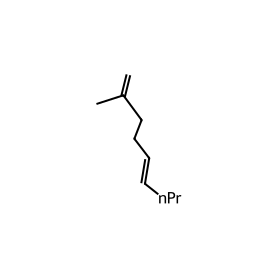 C=C(C)CCC=CC[CH]C